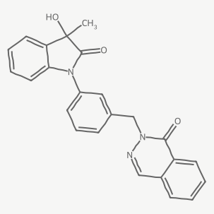 CC1(O)C(=O)N(c2cccc(Cn3ncc4ccccc4c3=O)c2)c2ccccc21